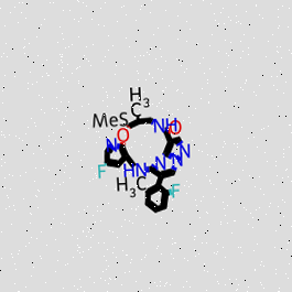 CSC1Oc2ncc(F)cc2CNc2nc3c(cnn3cc2-c2c(C)cccc2F)C(=O)NC[C@@H]1C